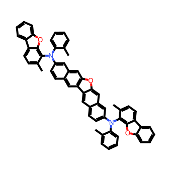 Cc1ccccc1N(c1ccc2cc3c(cc2c1)oc1cc2cc(N(c4ccccc4C)c4c(C)ccc5c4oc4ccccc45)ccc2cc13)c1c(C)ccc2c1oc1ccccc12